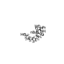 CCCCN1C(=O)[C@@H]([C@H](O)C(C)C)NC(=O)C12CCN(Cc1ccc(CN3CCC(O)CC3)cc1)CC2